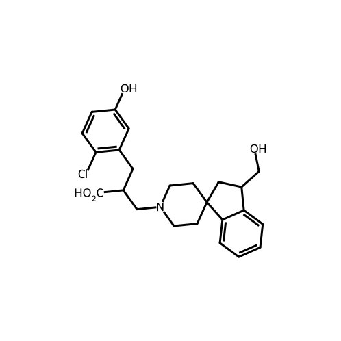 O=C(O)C(Cc1cc(O)ccc1Cl)CN1CCC2(CC1)CC(CO)c1ccccc12